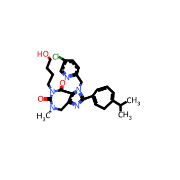 CC(C)C1=CC=CC(c2nc3c(n2Cc2ccc(Cl)cn2)C(=O)N(CCCCO)C(=O)N(C)C3)=CC1